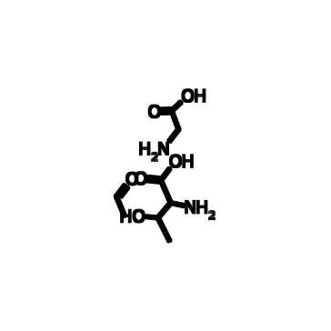 CC(O)C(N)C(=O)O.CC=O.NCC(=O)O